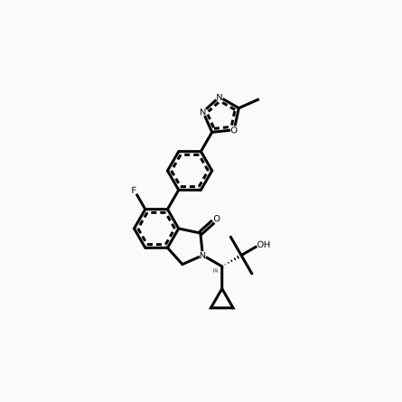 Cc1nnc(-c2ccc(-c3c(F)ccc4c3C(=O)N([C@@H](C3CC3)C(C)(C)O)C4)cc2)o1